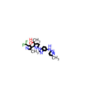 Cc1ccc(Nc2ccc3c(c2)ncn3-c2ccc(C(C)O)c(-c3cc(C(F)F)ncc3C)n2)nn1